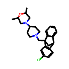 CC1CN(C2CCN(CC34CC(c5ccccc53)c3ccc(Cl)cc34)CC2)CC(C)O1